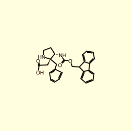 O=C(O)C[C@@]1(Cc2ccccc2)NCC[C@@H]1NC(=O)OCC1c2ccccc2-c2ccccc21